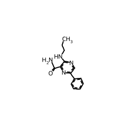 CCCNc1ncc(-c2ccccc2)nc1C(N)=O